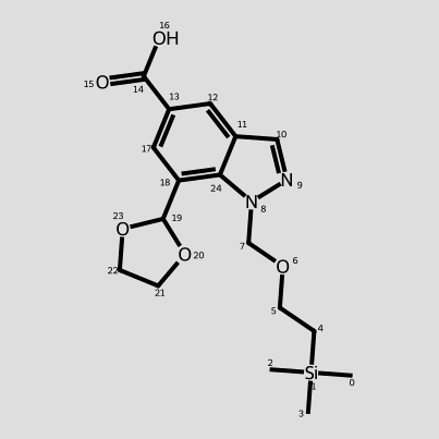 C[Si](C)(C)CCOCn1ncc2cc(C(=O)O)cc(C3OCCO3)c21